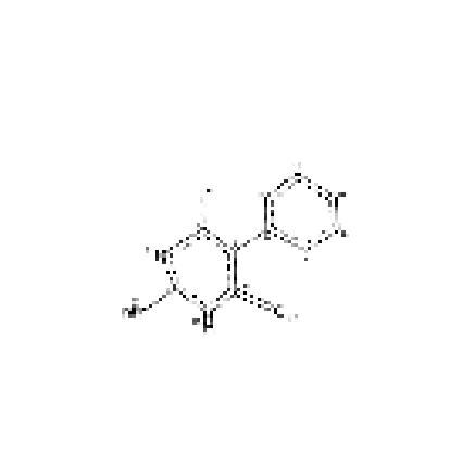 CCCc1nc(C)c(-c2ccccc2)c(=O)[nH]1